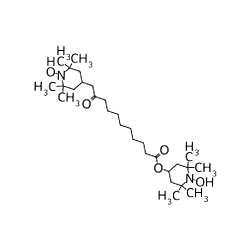 CC1(C)CC(CC(=O)CCCCCCCCC(=O)OC2CC(C)(C)N(O)C(C)(C)C2)CC(C)(C)N1O